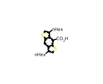 CCCCCCc1csc2c(C(=O)O)c3c(CCCCCC)csc3cc12